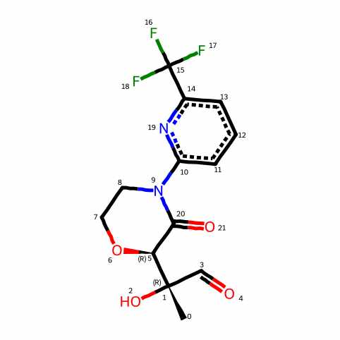 C[C@](O)(C=O)[C@H]1OCCN(c2cccc(C(F)(F)F)n2)C1=O